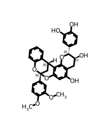 COc1ccc([C@]23C[C@H](c4ccccc4O2)c2c(cc(O)c4c2O[C@H](c2ccc(O)c(O)c2)[C@@H](O)C4)O3)cc1OC